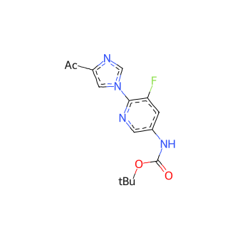 CC(=O)c1cn(-c2ncc(NC(=O)OC(C)(C)C)cc2F)cn1